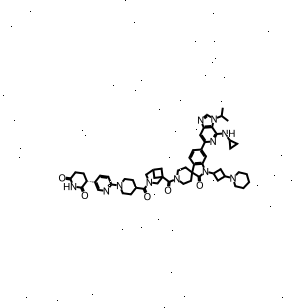 CC(C)n1cnc2cc(-c3ccc4c(c3)N(C3CC(N5CCCCC5)C3)C(=O)C43CCN(C(=O)C45CC(CN(C(=O)C6CCN(c7ccc([C@H]8CCC(=O)NC8=O)cn7)CC6)C4)C5)CC3)nc(NC3CC3)c21